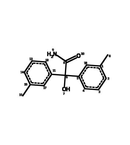 Cc1cccc(C(O)(C(N)=O)c2cccc(C)c2)c1